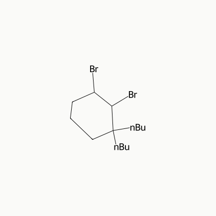 CCCCC1(CCCC)CCCC(Br)C1Br